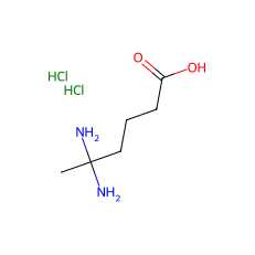 CC(N)(N)CCCC(=O)O.Cl.Cl